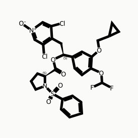 O=C(O[C@@H](Cc1c(Cl)c[n+]([O-])cc1Cl)c1ccc(OC(F)F)c(OCC2CC2)c1)[C@@H]1CCCN1S(=O)(=O)c1ccccc1